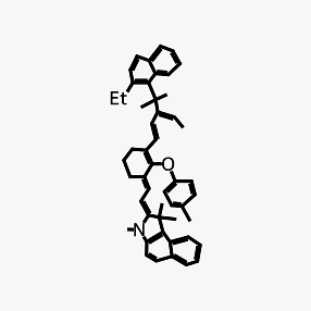 C/C=C(\C=C\C1=C(Oc2ccc(C)cc2)C(=C/C=C2/N(C)c3ccc4ccccc4c3C2(C)C)/CCC1)C(C)(C)c1c(CC)ccc2ccccc12